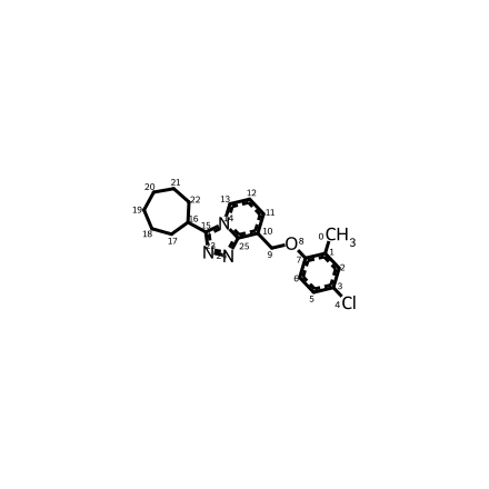 Cc1cc(Cl)ccc1OCc1cccn2c(C3CCCCCC3)nnc12